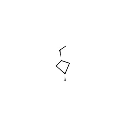 CC[C@H]1C[C@@H](CO)C1